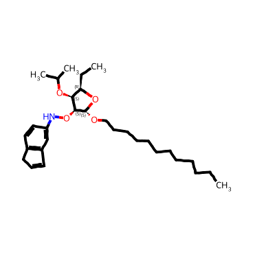 CCCCCCCCCCCCO[C@H]1O[C@H](CC)[C@H](OC(C)C)[C@@H]1ONc1ccc2c(c1)C=CC2